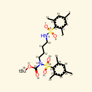 Cc1cc(C)c(S(=O)(=O)NCCCCN(C(=O)OC(C)(C)C)S(=O)(=O)c2c(C)cc(C)cc2C)c(C)c1